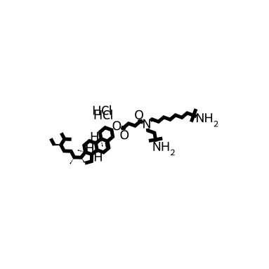 CC[C@H](CC[C@@H](C)[C@H]1CC[C@H]2[C@@H]3CC=C4C[C@@H](OC(=O)CCC(=O)N(CCCCCCCC(C)(C)N)CCC(C)(C)N)CC[C@]4(C)[C@H]3CC[C@]12C)C(C)C.Cl.Cl